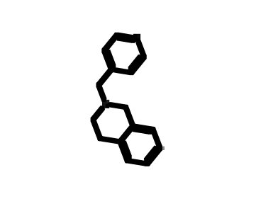 [c]1ccc2c(c1)CN(Cc1ccncc1)CC2